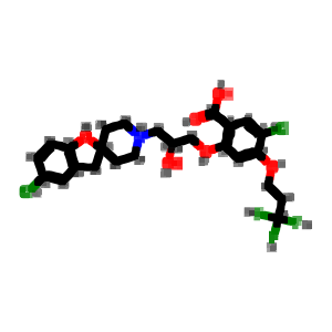 O=C(O)c1cc(Cl)c(OCCC(F)(F)F)cc1OC[C@@H](O)CN1CCC2(CC1)Cc1cc(Cl)ccc1O2